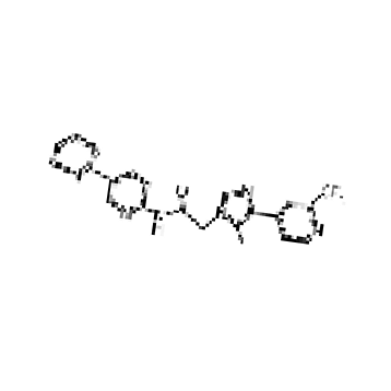 Cc1c(-c2ccnc(C(F)(F)F)c2)ncn1CC(=O)Nc1ccc(-c2ncccn2)cn1